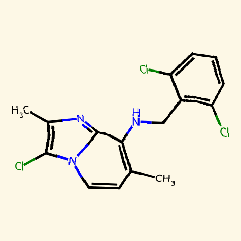 Cc1ccn2c(Cl)c(C)nc2c1NCc1c(Cl)cccc1Cl